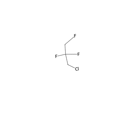 FCC(F)(F)CCl